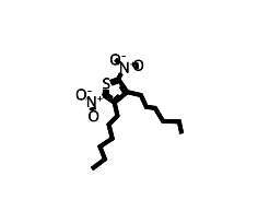 CCCCCCc1c([N+](=O)[O-])sc([N+](=O)[O-])c1CCCCCC